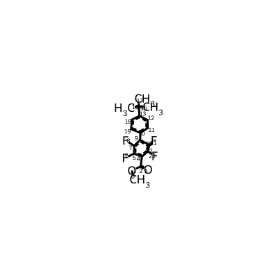 COC(=O)c1c(F)c(F)c(-c2ccc(C(C)(C)C)cc2)c(F)c1F